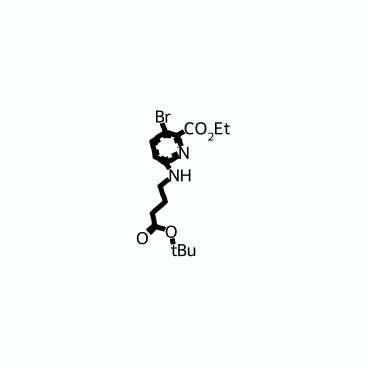 CCOC(=O)c1nc(NCCCC(=O)OC(C)(C)C)ccc1Br